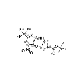 CC(C)(C)OC(=O)N1CC[C@@H](Oc2c(N)cc(C(F)(F)F)cc2[N+](=O)[O-])C1